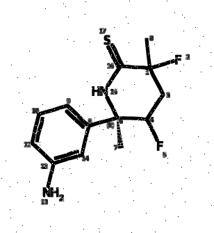 CC1(F)CC(F)[C@@](C)(c2cccc(N)c2)NC1=S